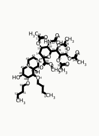 CCCCOC1[C@H]2CN([C@]3(C(=O)OC)C[C@@H](OC(C)=O)[C@@H](NC(C)=O)C(C(OC(C)=O)C(COC(C)=O)OC(C)=O)O3)CCN2C[C@H](O)[C@H]1OCCCC